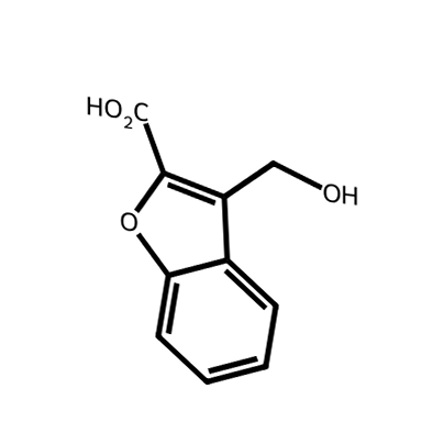 O=C(O)c1oc2ccccc2c1CO